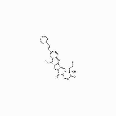 CCc1c2c(nc3ccc(/C=C/c4ccccc4)cc13)-c1cc3c(c(=O)n1C2)COC(=O)C3(O)CCF